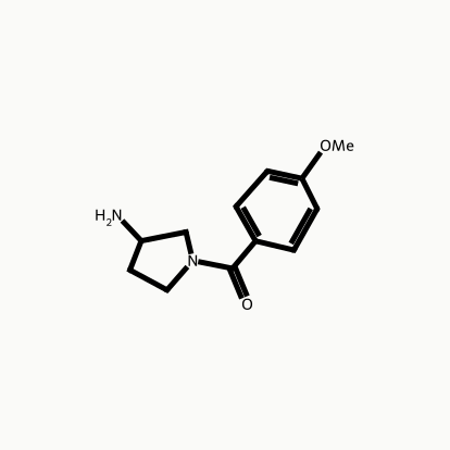 COc1ccc(C(=O)N2CCC(N)C2)cc1